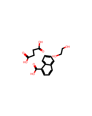 O=C(O)CCC(=O)O.O=C(O)c1cccc2ccccc12.OCCO